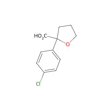 O=C(O)C1(c2ccc(Cl)cc2)CCCO1